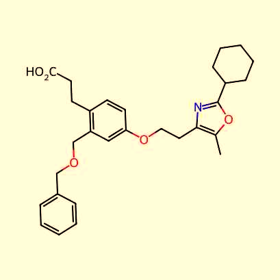 Cc1oc(C2CCCCC2)nc1CCOc1ccc(CCC(=O)O)c(COCc2ccccc2)c1